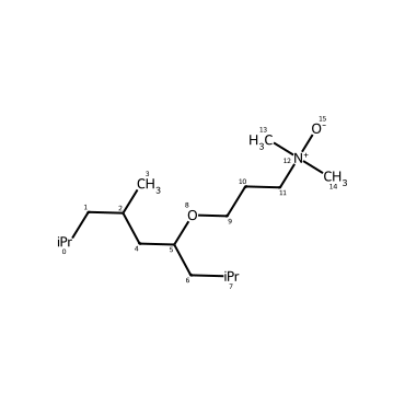 CC(C)CC(C)CC(CC(C)C)OCCC[N+](C)(C)[O-]